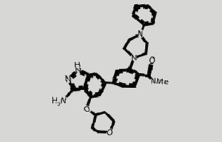 CNC(=O)c1ccc(-c2cc(OC3CCOCC3)c3c(N)n[nH]c3c2)cc1N1CCN(c2ccccc2)CC1